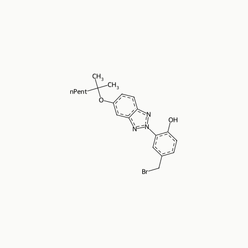 CCCCCC(C)(C)Oc1ccc2nn(-c3cc(CBr)ccc3O)nc2c1